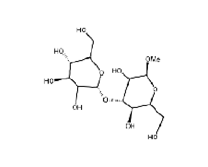 CO[C@H]1OC(CO)[C@@H](O)[C@H](O[C@H]2OC(CO)[C@@H](O)[C@H](O)C2O)C1O